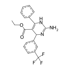 CCOC(=O)C1=C(c2ccccc2)NC(N)=NC1c1cccc(C(F)(F)F)c1